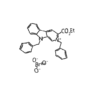 CCOC(=O)c1cc2c3ccccc3n(Cc3ccccc3)c2c[n+]1Cc1ccccc1.[O-][Br+2]([O-])[O-]